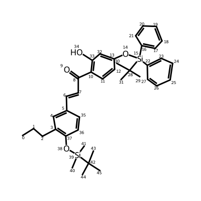 CCCc1cc(C=CC(=O)c2ccc(O[Si](c3ccccc3)(c3ccccc3)C(C)(C)C)cc2O)ccc1O[Si](C)(C)C(C)(C)C